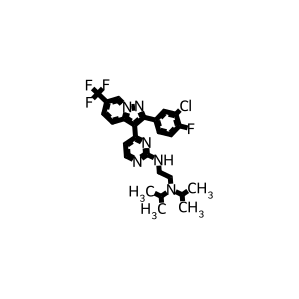 CC(C)N(CCNc1nccc(-c2c(-c3ccc(F)c(Cl)c3)nn3cc(C(F)(F)F)ccc23)n1)C(C)C